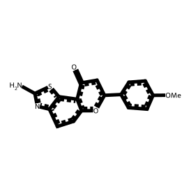 COc1ccc(-c2cc(=O)c3c(ccc4nc(N)sc43)o2)cc1